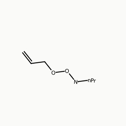 C=CCOO[N]CCC